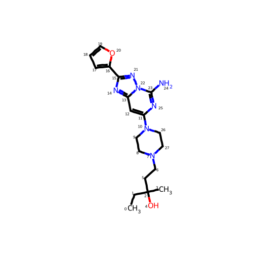 CCC(C)(O)CCN1CCN(c2cc3nc(-c4ccco4)nn3c(N)n2)CC1